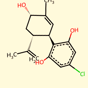 C=C(C)[C@@H]1C[C@H](O)C(C)=C[C@H]1c1c(O)cc(Cl)cc1O